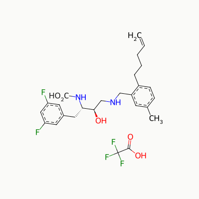 C=CCCCc1ccc(C)cc1CNC[C@@H](O)[C@H](Cc1cc(F)cc(F)c1)NC(=O)O.O=C(O)C(F)(F)F